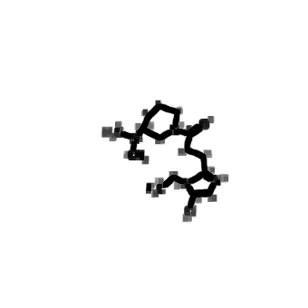 CN(C)[C@H]1CCCN(C(=O)CCc2ncc(Cl)n2CC(F)(F)F)C1